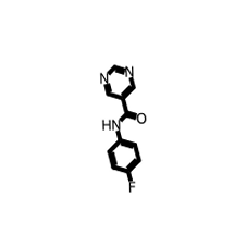 O=C(Nc1ccc(F)cc1)c1cncnc1